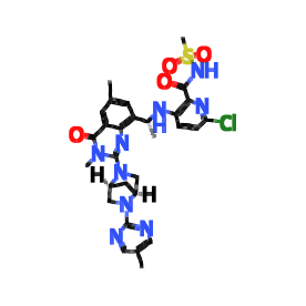 Cc1cnc(N2C[C@@H]3C[C@H]2CN3c2nc3c([C@@H](C)Nc4ccc(Cl)nc4C(=O)NS(C)(=O)=O)cc(C)cc3c(=O)n2C)nc1